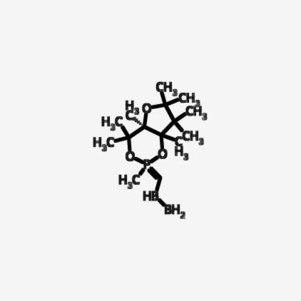 BBC=P1(C)OC(C)(C)[C@@]2(C)OC(C)(C)C(C)(C)C2(C)O1